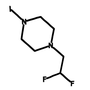 FC(F)CN1CCN(I)CC1